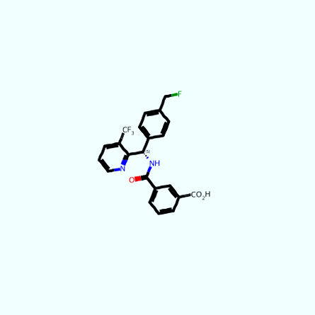 O=C(O)c1cccc(C(=O)N[C@@H](c2ccc(CF)cc2)c2ncccc2C(F)(F)F)c1